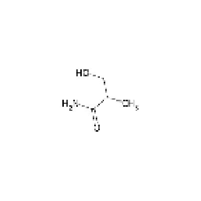 C[C@@H](CO)C(N)=O